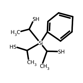 CC(S)[Si](c1ccccc1)(C(C)S)C(C)S